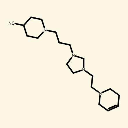 N#CC1CCN(CCCN2[C]N(CCN3CC=CCC3)CC2)CC1